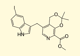 COC(=O)c1ncc(Cc2c[nH]c3ccc(I)cc23)c2c1OC(C)(C)OC2